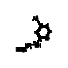 CC(=O)c1ccnc(NNC(=O)O)c1